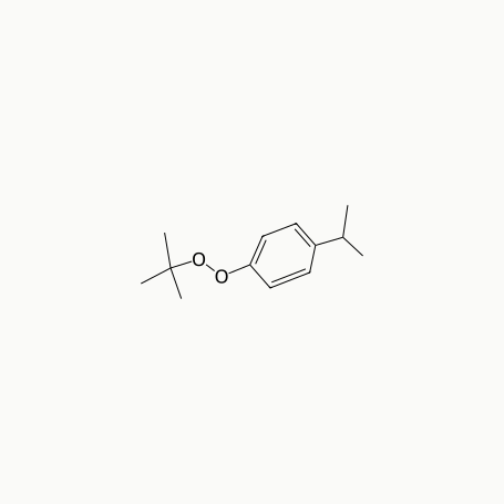 CC(C)c1ccc(OOC(C)(C)C)cc1